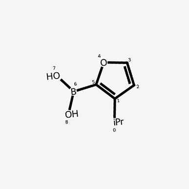 CC(C)c1ccoc1B(O)O